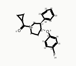 O=C(C1CC1)N1CC[C@@H](Oc2ccc(F)cc2)[C@H](c2ccccc2)C1